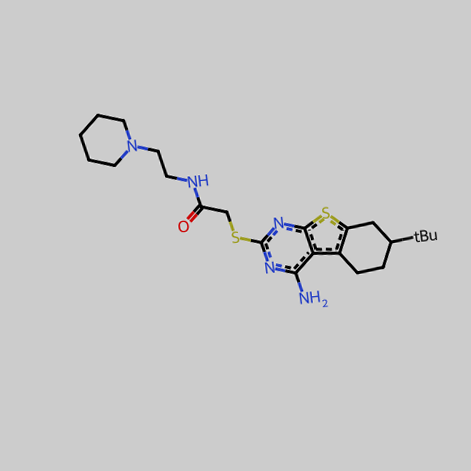 CC(C)(C)C1CCc2c(sc3nc(SCC(=O)NCCN4CCCCC4)nc(N)c23)C1